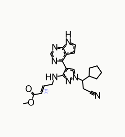 COC(=O)/C=C/CNc1nn(C(CC#N)C2CCCC2)cc1-c1ncnc2[nH]ccc12